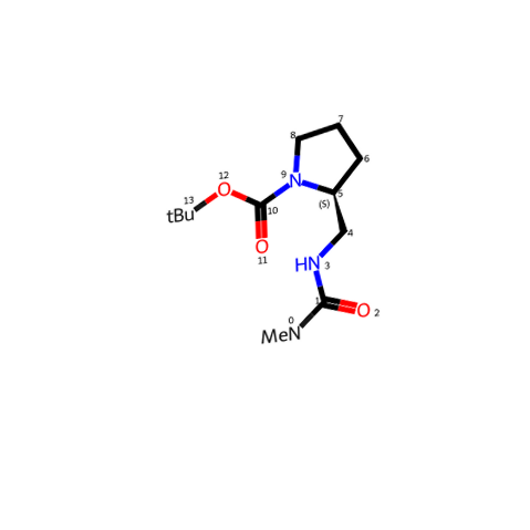 CNC(=O)NC[C@@H]1CCCN1C(=O)OC(C)(C)C